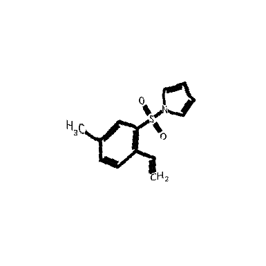 C=Cc1ccc(C)cc1S(=O)(=O)n1cccc1